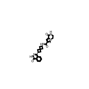 O=C(N[C@H]1CC2(C1)C[C@H](c1n[nH]c(=O)c3ccccc31)C2)c1cc2n(n1)CCNC2=O